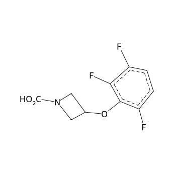 O=C(O)N1CC(Oc2c(F)ccc(F)c2F)C1